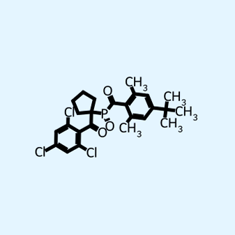 Cc1cc(C(C)(C)C)cc(C)c1C(=O)[P](=O)C1(C(=O)c2c(Cl)cc(Cl)cc2Cl)CCCC1